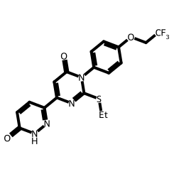 CCSc1nc(-c2ccc(=O)[nH]n2)cc(=O)n1-c1ccc(OCC(F)(F)F)cc1